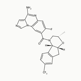 C[C@H]1CN(C(=O)c2cc3c(cc2F)nc(N)c2cncn23)[C@H]2c3ccc(C(F)(F)F)cc3C[C@H]2O1